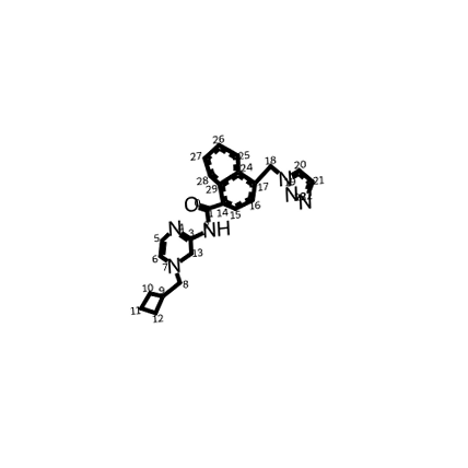 O=C(NC1=NC=CN(CC2CCC2)C1)c1ccc(Cn2ccnn2)c2ccccc12